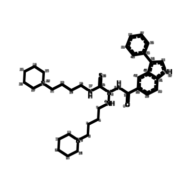 O=C(NN(NCCCCN1CCCCC1)C(=S)NCCCCN1CCCCC1)c1ccc2[nH]cc(-c3ccccc3)c2c1